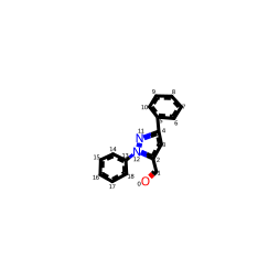 O=Cc1cc(-c2ccccc2)nn1-c1ccccc1